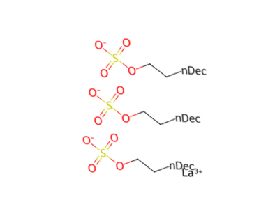 CCCCCCCCCCCCOS(=O)(=O)[O-].CCCCCCCCCCCCOS(=O)(=O)[O-].CCCCCCCCCCCCOS(=O)(=O)[O-].[La+3]